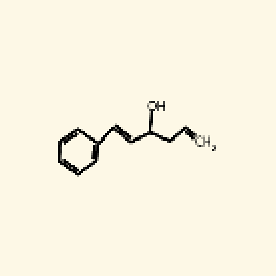 C=CCC(O)C=Cc1ccccc1